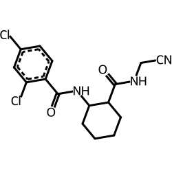 N#CCNC(=O)C1CCCCC1NC(=O)c1ccc(Cl)cc1Cl